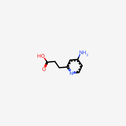 Nc1ccnc(CCC(=O)O)c1